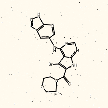 C[C@@H]1COCCN1C(=O)c1[nH]c2ncnc(Nc3cnc4[nH]ncc4c3)c2c1Br